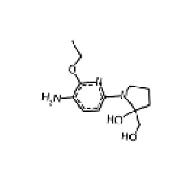 CCOc1nc(N2CCCC2(O)CO)ccc1N